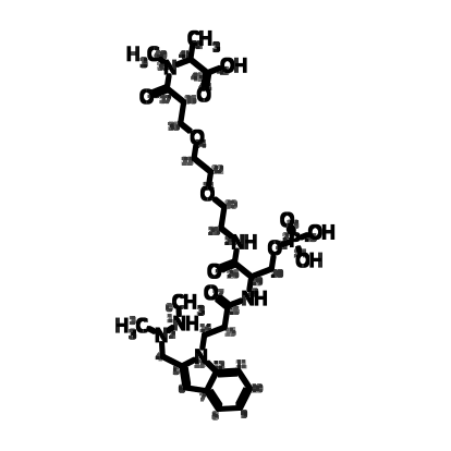 CNN(C)Cc1cc2ccccc2n1CCC(=O)NC(COP(=O)(O)O)C(=O)NCCOCCOCCC(=O)N(C)C(C)C(=O)O